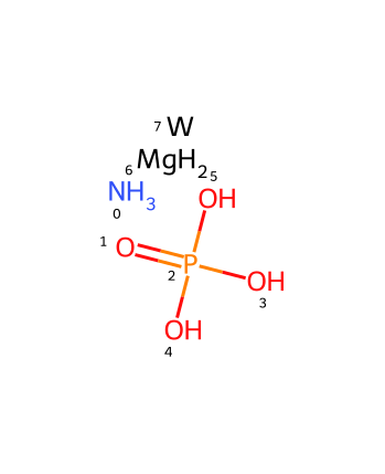 N.O=P(O)(O)O.[MgH2].[W]